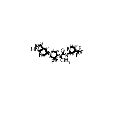 CN(C(=O)Nc1cc(C(F)(F)F)ccn1)[C@H]1CCN(c2cnc3[nH]ncc3c2)CC1(F)F